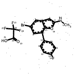 CNc1cc2cc(Br)cc(-c3ccc(F)cc3)c2o1.O=C(O)C(F)(F)F